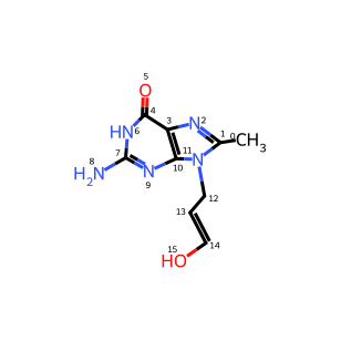 Cc1nc2c(=O)[nH]c(N)nc2n1CC=CO